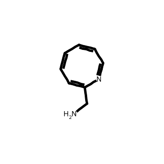 NCC1=CC=CC=CC=N1